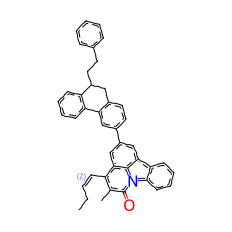 CC/C=C\c1c(C)c(=O)n2c3ccccc3c3cc(-c4ccc5c(c4)-c4ccccc4C(CCc4ccccc4)C5)cc1c32